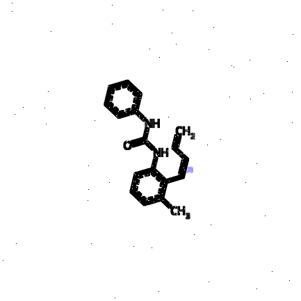 C=C/C=C\c1c(C)cccc1NC(=O)Nc1ccccc1